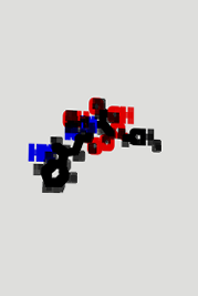 CCOC(=O)C(NC(=O)C(Cc1c[nH]c2ccccc12)=NO)C(=O)O